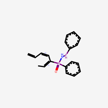 C=C/C=C\C(=C/C)P(=O)(NPc1ccccc1)c1ccccc1